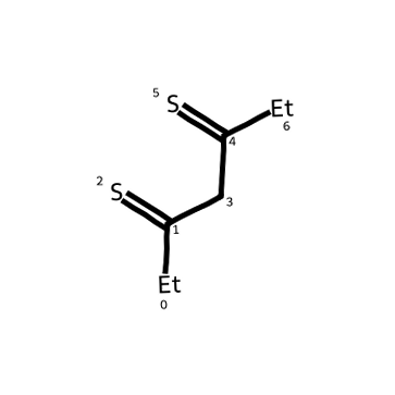 CCC(=S)CC(=S)CC